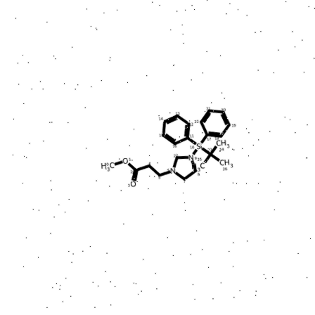 COC(=O)CCN1CCN([Si](c2ccccc2)(c2ccccc2)C(C)(C)C)C1